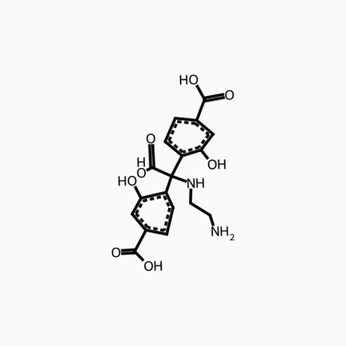 NCCNC(C(=O)O)(c1ccc(C(=O)O)cc1O)c1ccc(C(=O)O)cc1O